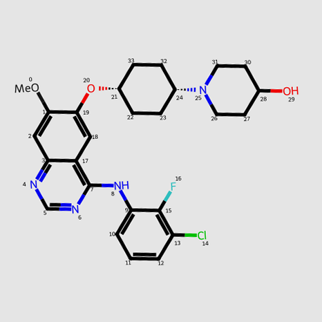 COc1cc2ncnc(Nc3cccc(Cl)c3F)c2cc1O[C@H]1CC[C@@H](N2CCC(O)CC2)CC1